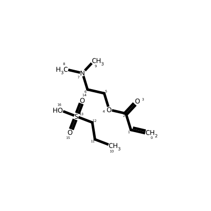 C=CC(=O)OCCN(C)C.CCCS(=O)(=O)O